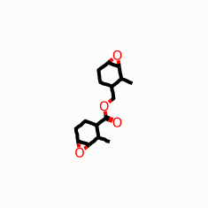 CC1C(COC(=O)C2CCC3OC3C2C)CCC2OC21